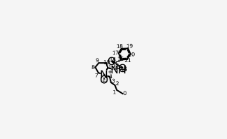 CCCCC[N+]1([O-])CCCCC1NS(=O)(=O)c1ccccc1